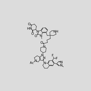 CC(=O)N1CCc2c(c(N3CCCc4cc(-c5cnn(C)c5)c(C(F)F)cc43)nn2C2CCN(C(=O)CCCC3(Cc4cccc5c4n(C)c(=O)n5C4CCC(=O)NC4=O)CCNCC3)CC2)C1